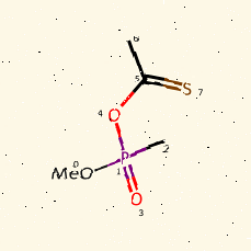 COP(C)(=O)OC(C)=S